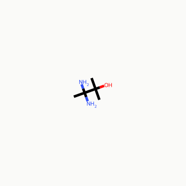 CC(N)(N)C(C)(C)O